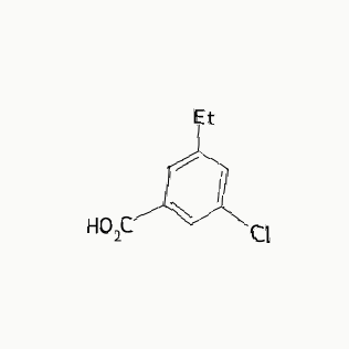 CCc1cc(Cl)cc(C(=O)O)c1